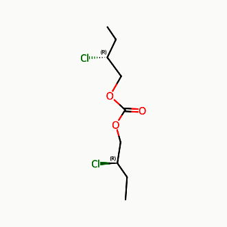 CC[C@@H](Cl)COC(=O)OC[C@H](Cl)CC